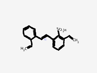 C=Cc1ccccc1/C=C/c1cccc(C=C)c1S(=O)(=O)O